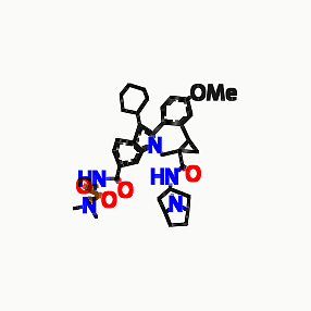 COc1ccc2c(c1)C1CC1(C(=O)NC1CC3CCC(C1)N3C)Cn1c-2c(C2CCCCC2)c2ccc(C(=O)NS(=O)(=O)N(C)C)cc21